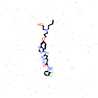 CCCCN(CCO)CCCOc1ccc2c(Nc3cc(CC(=O)Nc4cccc(F)c4F)[nH]n3)ncnc2c1